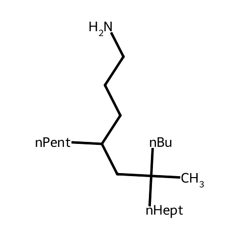 CCCCCCCC(C)(CCCC)CC(CCCN)CCCCC